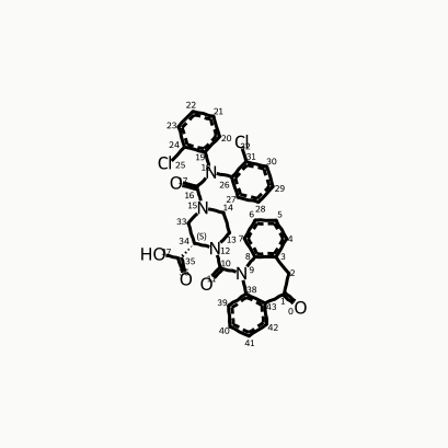 O=C1Cc2ccccc2N(C(=O)N2CCN(C(=O)N(c3ccccc3Cl)c3ccccc3Cl)C[C@H]2C(=O)O)c2ccccc21